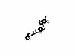 COc1cc2nccc(Oc3ccc(NC(=S)NC(=O)Cn4ccc5cccnc54)cc3F)c2cc1OC